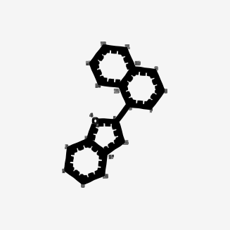 c1ccc2oc(-c3cccc4ccccc34)cc2c1